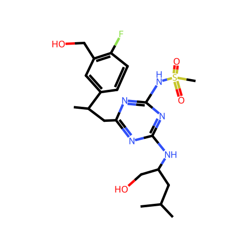 CC(C)CC(CO)Nc1nc(CC(C)c2ccc(F)c(CO)c2)nc(NS(C)(=O)=O)n1